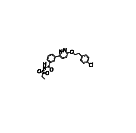 CCS(=O)(=O)NC(=O)c1cccc(-c2ccc(OCCc3ccc(Cl)cc3)nn2)c1